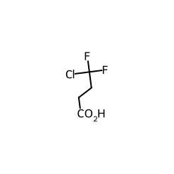 O=C(O)CCC(F)(F)Cl